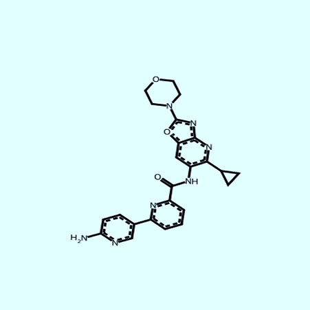 Nc1ccc(-c2cccc(C(=O)Nc3cc4oc(N5CCOCC5)nc4nc3C3CC3)n2)cn1